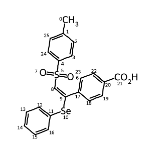 Cc1ccc(S(=O)(=O)/C=C(/[Se]c2ccccc2)c2ccc(C(=O)O)cc2)cc1